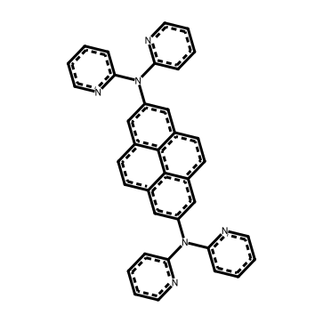 c1ccc(N(c2cc3ccc4cc(N(c5ccccn5)c5ccccn5)cc5ccc(c2)c3c45)c2ccccn2)nc1